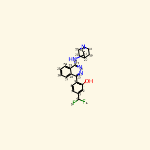 Oc1cc(C(F)F)ccc1-c1nnc(NC2CN3CCC2CC3)c2ccccc12